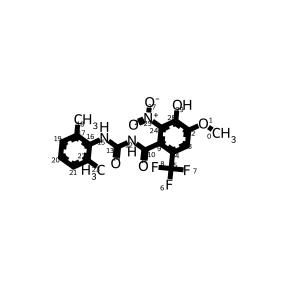 COc1cc(C(F)(F)F)c(C(=O)NC(=O)Nc2c(C)cccc2C)c([N+](=O)[O-])c1O